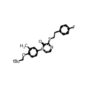 Cc1cc(-n2ccnc(SCCc3ccc(F)cc3)c2=O)ccc1OCC(C)(C)C